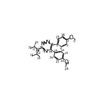 COc1ccc(-c2nnc(N(C(C)C)C(C)C)nc2-c2ccc(OC)cc2)cc1